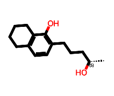 [CH2][C@H](O)CCCc1ccc2c(c1O)CCCC2